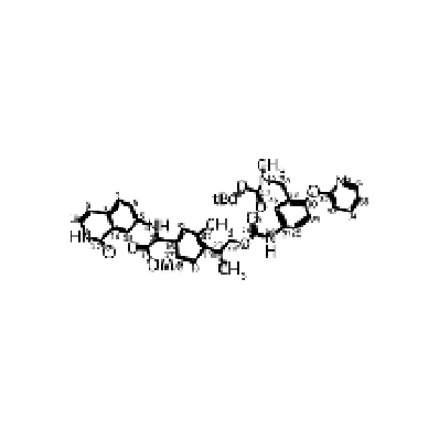 COC(=O)C(Nc1ccc2cc[nH]c(=O)c2c1)c1ccc([C@@H](C)COC(=O)Nc2ccc(Oc3ccccn3)c(CN(C)C(=O)OC(C)(C)C)c2)c(C)c1